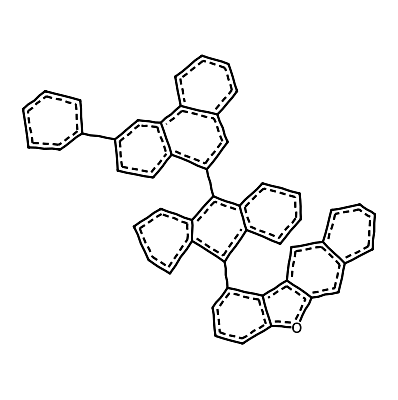 c1ccc(-c2ccc3c(-c4c5ccccc5c(-c5cccc6oc7cc8ccccc8cc7c56)c5ccccc45)cc4ccccc4c3c2)cc1